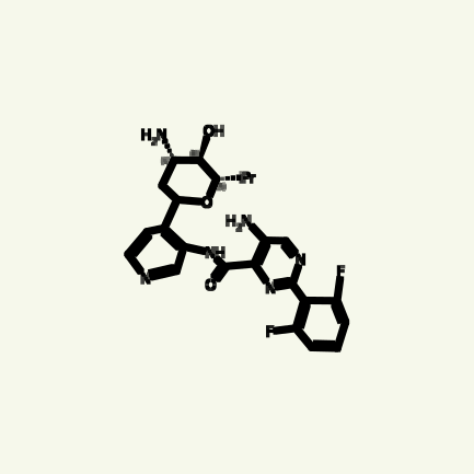 CC(C)[C@@H]1OC(c2ccncc2NC(=O)c2nc(-c3c(F)cccc3F)ncc2N)C[C@H](N)[C@H]1O